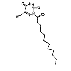 O=C(CCCCCCCCCCI)n1nc(Br)c(=O)[nH]c1=O